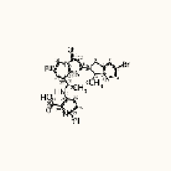 CC1c2ncc(Br)cc2CN1c1cc(=O)n2cc(F)cc([C@@H](C)Nc3ccc(Cl)nc3C(=O)O)c2n1